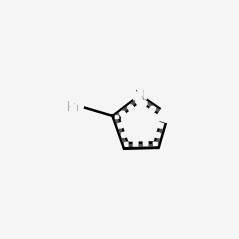 CC(C)c1[c]con1